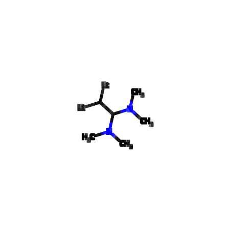 CCC(CC)C(N(C)C)N(C)C